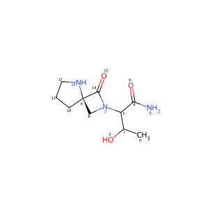 CC(O)C(C(N)=O)N1C[C@]2(CCCN2)C1=O